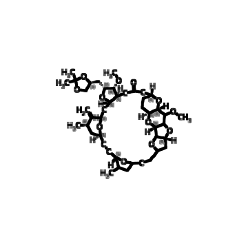 C=C1[C@H](C)C[C@@H]2CC[C@@H]3OC(CCC4C[C@H]5OC6C(OC)[C@H]7O[C@H](CC[C@@H]7O[C@H]6C5O4)CC(=O)C[C@@H]4[C@@H](OC)[C@@H](C[C@H]5COC(C)(C)O5)O[C@H]4C[C@H]1O2)CC3C